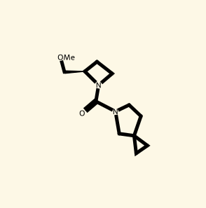 COC[C@H]1CCN1C(=O)N1CCC2(CC2)C1